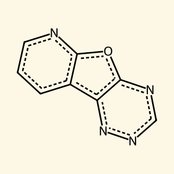 c1cnc2oc3ncnnc3c2c1